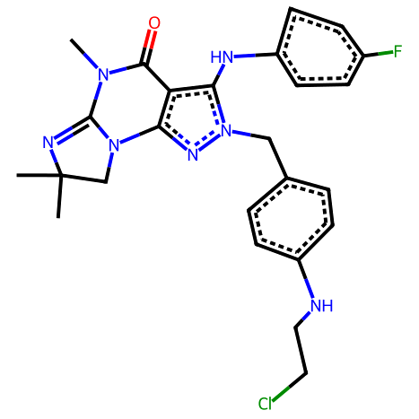 CN1C(=O)c2c(nn(Cc3ccc(NCCCl)cc3)c2Nc2ccc(F)cc2)N2CC(C)(C)N=C12